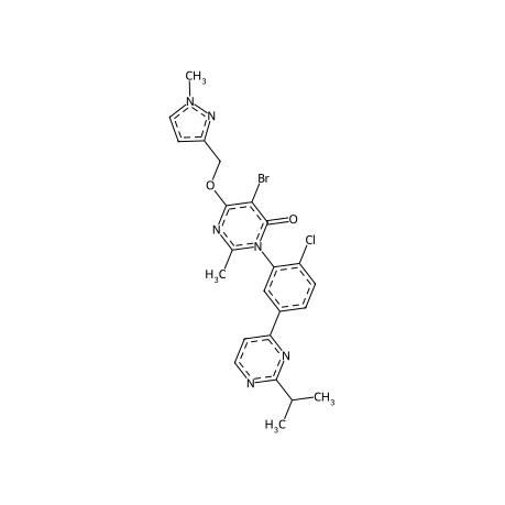 Cc1nc(OCc2ccn(C)n2)c(Br)c(=O)n1-c1cc(-c2ccnc(C(C)C)n2)ccc1Cl